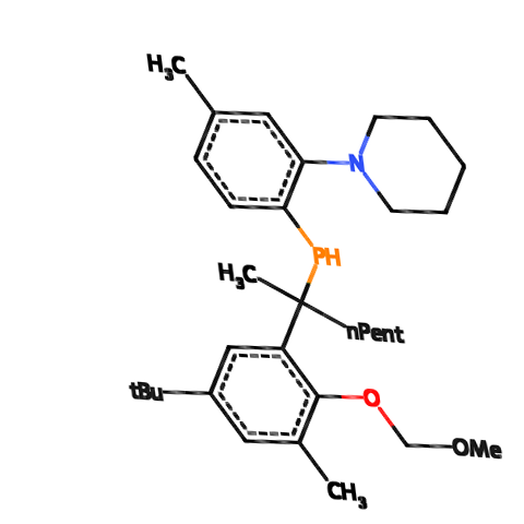 CCCCCC(C)(Pc1ccc(C)cc1N1CCCCC1)c1cc(C(C)(C)C)cc(C)c1OCOC